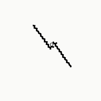 CCCCCCCCCCCCCCCCCC(C)C(C)OC(C)C(C)CCCCCCCCCCCCCCCCC